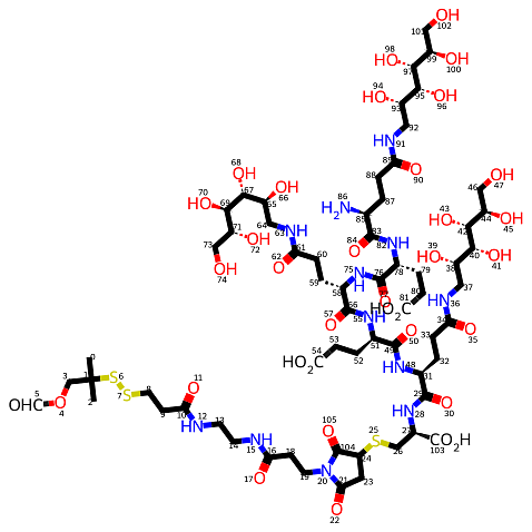 CC(C)(COC=O)SSCCC(=O)NCCNC(=O)CCN1C(=O)CC(SC[C@@H](NC(=O)[C@H](CCC(=O)NC[C@H](O)[C@@H](O)[C@H](O)[C@H](O)CO)NC(=O)[C@@H](CCC(=O)O)NC(=O)[C@H](CCC(=O)NC[C@H](O)[C@@H](O)[C@H](O)[C@H](O)CO)NC(=O)[C@@H](CCC(=O)O)NC(=O)[C@@H](N)CCC(=O)NC[C@H](O)[C@@H](O)[C@H](O)[C@H](O)CO)C(=O)O)C1=O